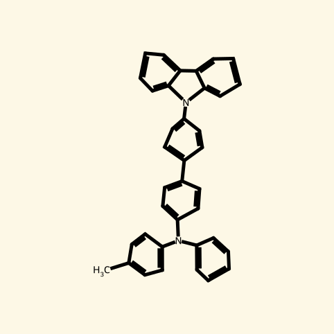 Cc1ccc(N(c2ccccc2)c2ccc(-c3ccc(-n4c5ccccc5c5ccccc54)cc3)cc2)cc1